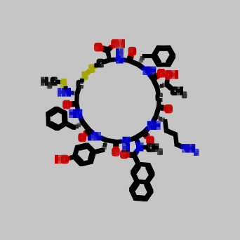 CSN[C@@H]1CSSC[C@@H](C(=O)O)NC(=O)[C@H](Cc2ccccc2)NC(=O)[C@H](C(C)O)CC(=O)[C@H](CCCCN)NC(=O)[C@@H](N(C)C(=O)c2ccc3ccccc3c2)NC(=O)[C@H](Cc2ccc(O)cc2)NC(=O)[C@H](Cc2ccccc2)NC1=O